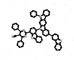 N#Cc1c(-c2ccccc2)nc(-c2ccc(-n3c4ccc(-c5ccc6sc7ccccc7c6c5)cc4c4cc5c6ccccc6n(-c6ccccc6)c5cc43)c3c2oc2ccccc23)nc1-c1ccccc1